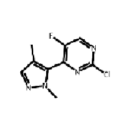 Cc1cnn(C)c1-c1nc(Cl)ncc1F